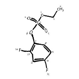 CCOS(=O)(=O)Oc1ccc(F)cc1F